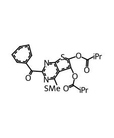 CSc1nc(C(=O)c2ccccc2)nc2sc(OC(=O)C(C)C)c(OC(=O)C(C)C)c12